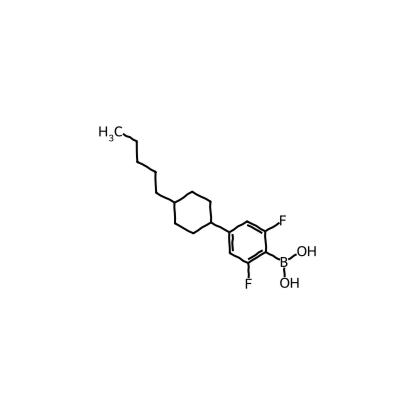 CCCCCC1CCC(c2cc(F)c(B(O)O)c(F)c2)CC1